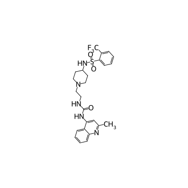 Cc1cc(NC(=O)NCCN2CCC(NS(=O)(=O)c3ccccc3C(F)(F)F)CC2)c2ccccc2n1